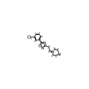 Clc1cccc(-c2nc(CCN3CC[N]CC3)no2)c1